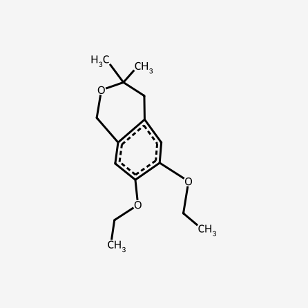 CCOc1cc2c(cc1OCC)CC(C)(C)OC2